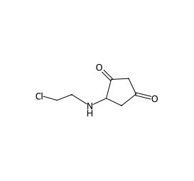 O=C1CC(=O)C(NCCCl)C1